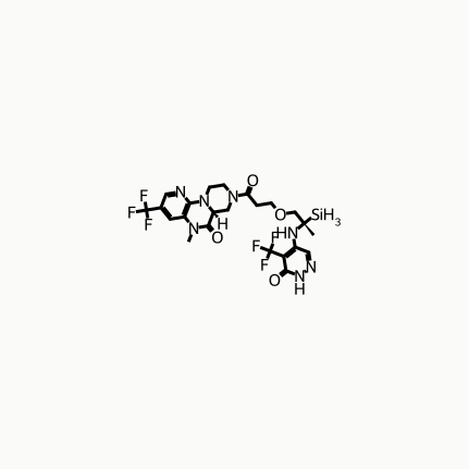 CN1C(=O)[C@H]2CN(C(=O)CCOC[C@](C)([SiH3])Nc3cn[nH]c(=O)c3C(F)(F)F)CCN2c2ncc(C(F)(F)F)cc21